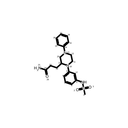 CS(=O)(=O)Nc1cccc(N2CCN(c3ccccc3)CC2CCC(N)=O)c1